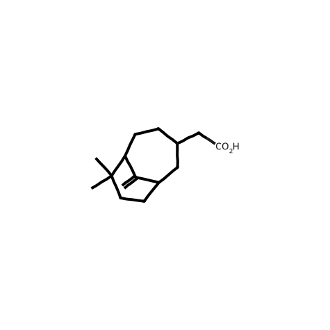 C=C1C2CCC(C)(C)C1CCC(CC(=O)O)C2